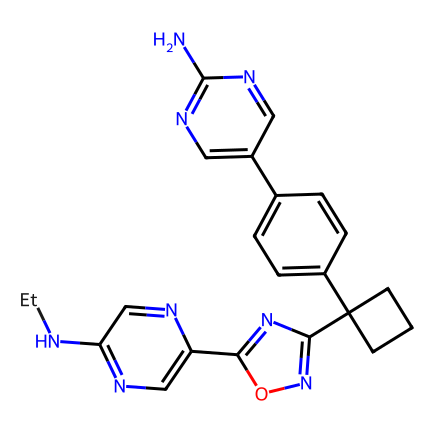 CCNc1cnc(-c2nc(C3(c4ccc(-c5cnc(N)nc5)cc4)CCC3)no2)cn1